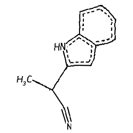 C[C](C#N)c1cc2ccccc2[nH]1